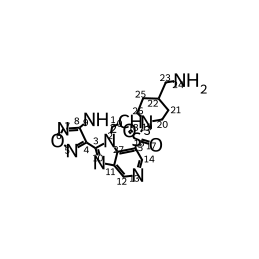 CCn1c(-c2nonc2N)nc2cncc(S(=O)(=O)N3CCC(CN)CC3)c21